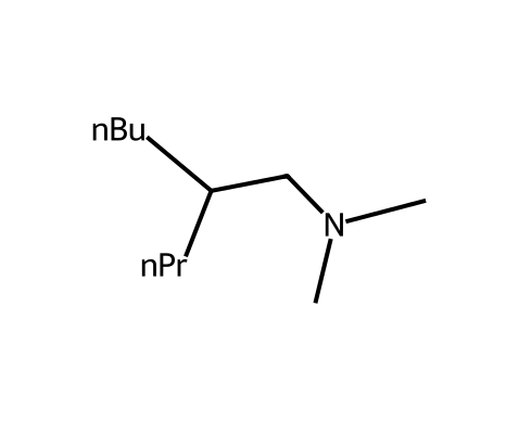 CCCCC(CCC)CN(C)C